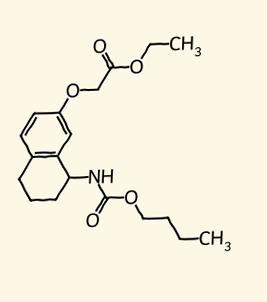 CCCCOC(=O)NC1CCCc2ccc(OCC(=O)OCC)cc21